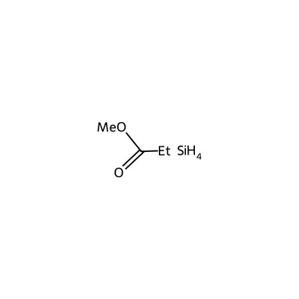 CCC(=O)OC.[SiH4]